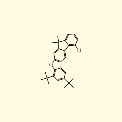 CC(C)(C)c1cc(C(C)(C)C)c2oc3cc4c(cc3c2c1)-c1c(Cl)cccc1C4(C)C